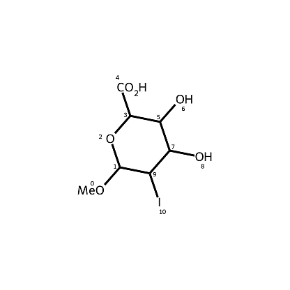 COC1OC(C(=O)O)C(O)C(O)C1I